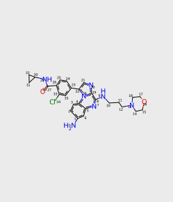 Nc1ccc2c(c1)nc(NCCCN1CCOCC1)c1ncc(-c3ccc(C(=O)NC4CC4)c(Cl)c3)n12